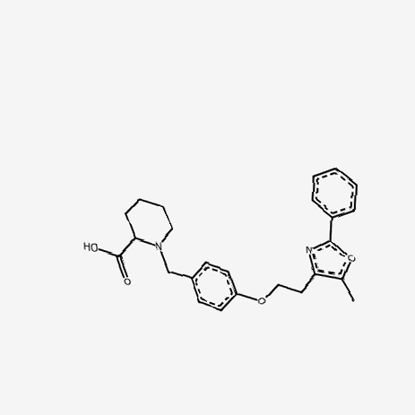 Cc1oc(-c2ccccc2)nc1CCOc1ccc(CN2CCCCC2C(=O)O)cc1